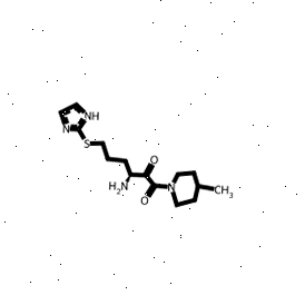 CC1CCN(C(=O)C(=O)[C@@H](N)CCCSc2ncc[nH]2)CC1